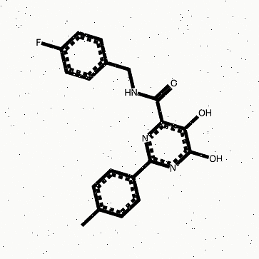 Cc1ccc(-c2nc(O)c(O)c(C(=O)NCc3ccc(F)cc3)n2)cc1